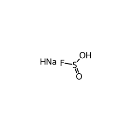 O=S(O)F.[NaH]